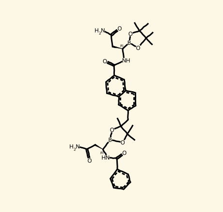 CC1(C)OB([C@H](CC(N)=O)NC(=O)c2ccc3cc(CC4(C)OB([C@H](CC(N)=O)NC(=O)c5ccccc5)OC4(C)C)ccc3c2)OC1(C)C